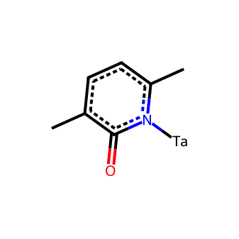 Cc1ccc(C)[n]([Ta])c1=O